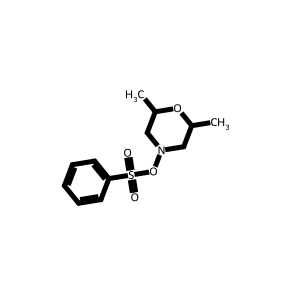 CC1CN(OS(=O)(=O)c2ccccc2)CC(C)O1